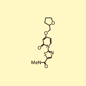 CNC(=O)c1cnc(-n2ccc(OCC3CCCO3)cc2=O)s1